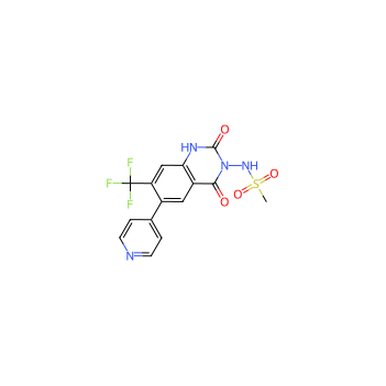 CS(=O)(=O)Nn1c(=O)[nH]c2cc(C(F)(F)F)c(-c3ccncc3)cc2c1=O